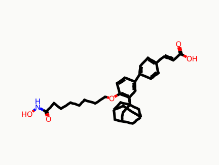 O=C(O)C=Cc1ccc(-c2ccc(OCCCCCCCC(=O)NO)c(C34CC5CC(CC(C5)C3)C4)c2)cc1